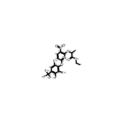 CCOC(=O)C(C)Oc1nc(Oc2c(F)cc(C(F)(F)F)c(F)c2F)ccc1[N+](=O)[O-]